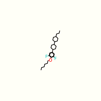 CCCCCCOc1c(F)cc(C2CCC(C3CCC(CCC)CC3)CC2)cc1F